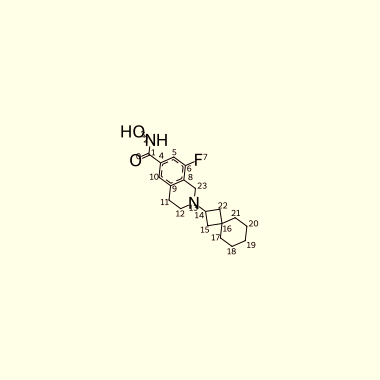 O=C(NO)c1cc(F)c2c(c1)CCN(C1CC3(CCCCC3)C1)C2